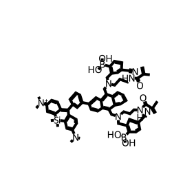 C=C(C)C(=O)NCCCN(Cc1cc(C#N)ccc1B(O)O)Cc1c2ccccc2c(CN(CCCNC(=O)C(=C)C)Cc2cc(C#N)ccc2B(O)O)c2cc(-c3cccc(C4=C5C=CC(=[N+](C)C)C=C5[Si](C)(C)c5cc(N(C)C)ccc54)c3)ccc12